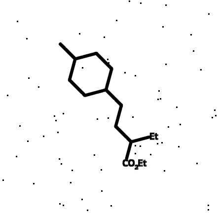 CCOC(=O)C(CC)CCC1CCC(C)CC1